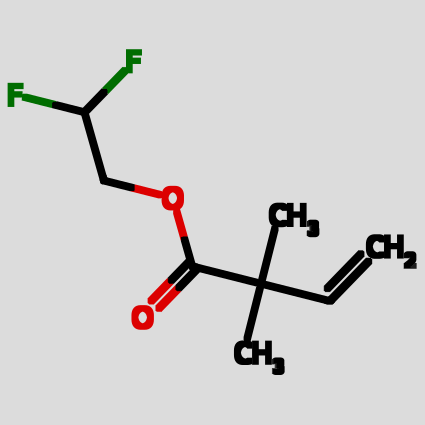 C=CC(C)(C)C(=O)OCC(F)F